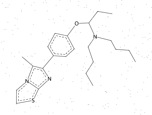 CCCCN(CCCC)C(CC)Oc1ccc(-c2nc3sccn3c2C)cc1